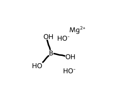 OB(O)O.[Mg+2].[OH-].[OH-]